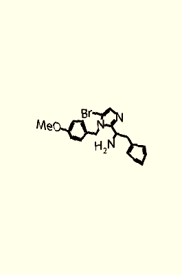 COc1ccc(Cn2c(Br)cnc2C(N)Cc2ccccc2)cc1